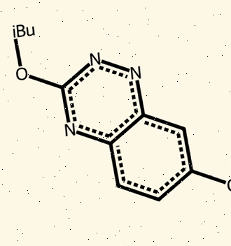 CCC(C)Oc1nnc2cc(Cl)ccc2n1